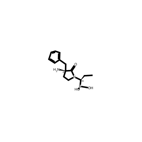 CC[C@@H](B(O)O)N1CC[C@](N)(Cc2ccccc2)C1=O